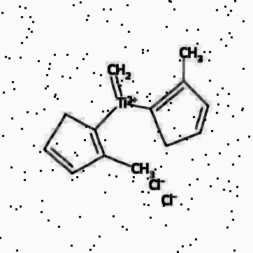 [CH2]=[Ti+2]([C]1=C(C)C=CC1)[C]1=C(C)C=CC1.[Cl-].[Cl-]